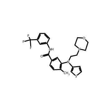 Cc1ccc(C(=O)Nc2cccc(C(F)(F)F)c2)cc1N(CCN1CCOCC1)c1ccsc1